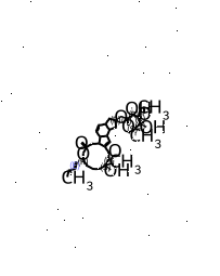 CC/C=C/[C@H]1CCC[C@H](O)[C@@H](C)C(=O)C2=CC3C(C=CC4C[C@@H](O[C@@H]5O[C@@H](C)[C@H](O)[C@@H](OC)[C@H]5O)CC43)C2CC(=O)O1